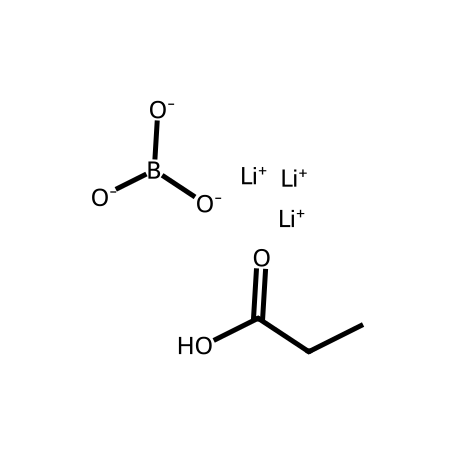 CCC(=O)O.[Li+].[Li+].[Li+].[O-]B([O-])[O-]